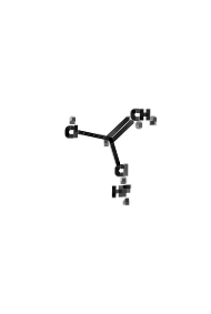 C=C(Cl)Cl.F